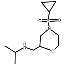 CC(C)NCC1CN(S(=O)(=O)C2CC2)CCO1